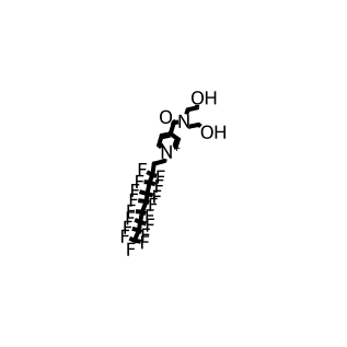 O=C(c1cc[n+](CCC(F)(F)C(F)(F)C(F)(F)C(F)(F)C(F)(F)C(F)(F)C(F)(F)C(F)(F)F)cc1)N(CCO)CCO